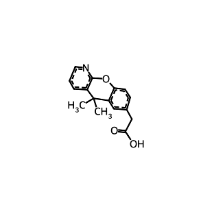 CC1(C)c2cc(CC(=O)O)ccc2Oc2ncccc21